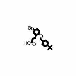 CC(C)(C)c1ccc(COc2ccc(Br)cc2C=CC(=O)O)cc1